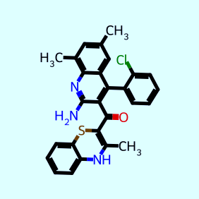 CC1=C(C(=O)c2c(N)nc3c(C)cc(C)cc3c2-c2ccccc2Cl)Sc2ccccc2N1